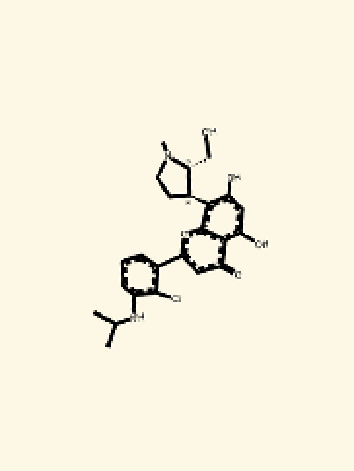 CC(C)Nc1cccc(-c2cc(=O)c3c(O)cc(O)c([C@H]4CCN(C)[C@@H]4CO)c3o2)c1Cl